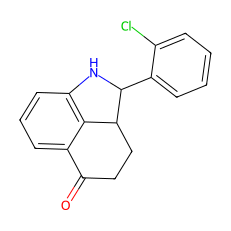 O=C1CCC2c3c(cccc31)NC2c1ccccc1Cl